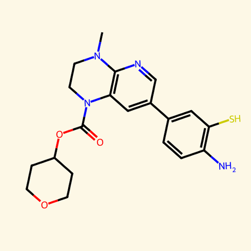 CN1CCN(C(=O)OC2CCOCC2)c2cc(-c3ccc(N)c(S)c3)cnc21